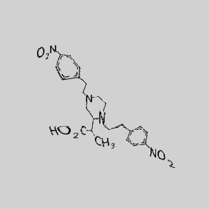 CC(C(=O)O)C1CN(CCc2ccc([N+](=O)[O-])cc2)CCN1CCc1ccc([N+](=O)[O-])cc1